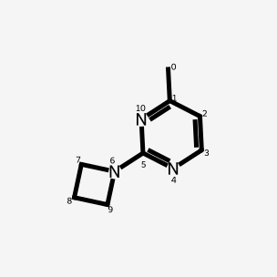 Cc1ccnc(N2CCC2)n1